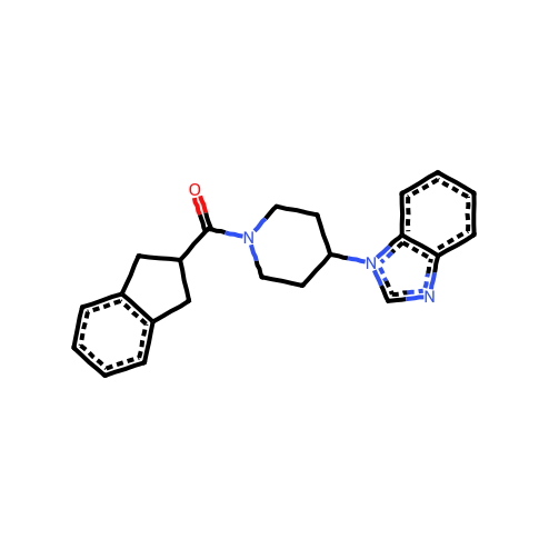 O=C(C1Cc2ccccc2C1)N1CCC(n2cnc3ccccc32)CC1